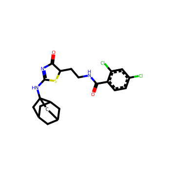 O=C(NCCC1SC(NC23CC4CC(CC2C4)C3)=NC1=O)c1ccc(Cl)cc1Cl